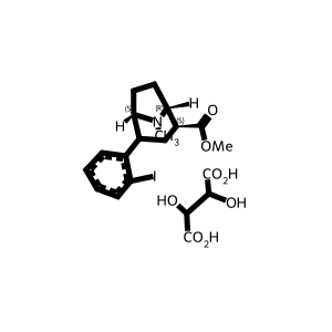 COC(=O)[C@H]1CC(c2ccccc2I)[C@@H]2CC[C@H]1N2C.O=C(O)C(O)C(O)C(=O)O